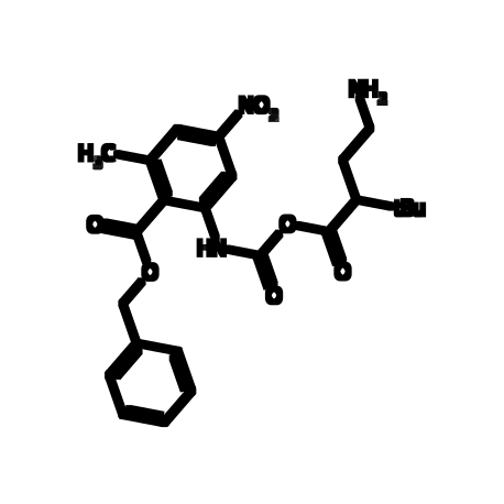 Cc1cc([N+](=O)[O-])cc(NC(=O)OC(=O)C(CCN)C(C)(C)C)c1C(=O)OCc1ccccc1